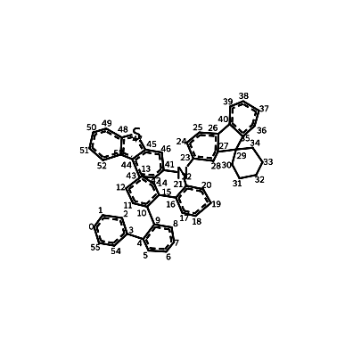 c1ccc(-c2ccccc2-c2ccccc2-c2ccccc2N(c2ccc3c(c2)C2(CCCCC2)c2ccccc2-3)c2ccc3c(c2)sc2ccccc23)cc1